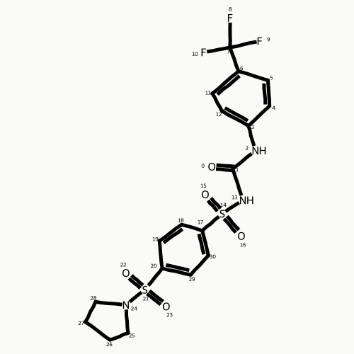 O=C(Nc1ccc(C(F)(F)F)cc1)NS(=O)(=O)c1ccc(S(=O)(=O)N2CCCC2)cc1